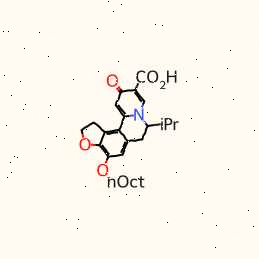 CCCCCCCCOc1cc2c(c3c1OCC3)-c1cc(=O)c(C(=O)O)cn1C(C(C)C)C2